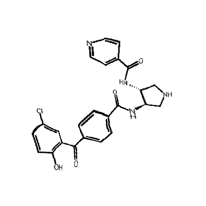 O=C(N[C@@H]1CNC[C@H]1NC(=O)c1ccc(C(=O)c2cc(Cl)ccc2O)cc1)c1ccncc1